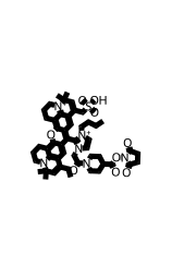 CCCC[n+]1ccn(CC(=O)N2CCC(C(=O)ON3C(=O)CCC3=O)CC2)c1C1=c2cc3c4c(c2Oc2c1cc1c5c2CCCN5C(C)(C)C=C1CC)CCC[N+]=4C(C)(C)C=C3CS(=O)(=O)O